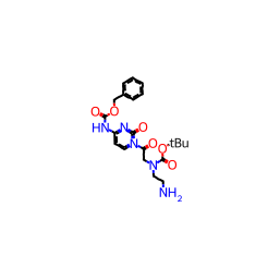 CC(C)(C)OC(=O)N(CCN)CC(=O)n1ccc(NC(=O)OCc2ccccc2)nc1=O